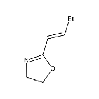 CC/C=C/C1=NCCO1